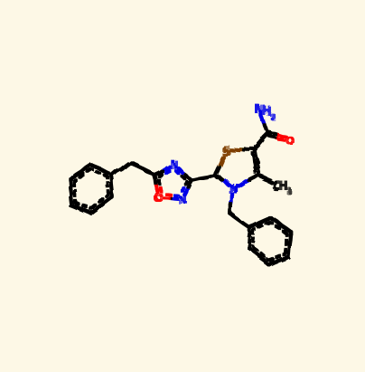 CC1=C(C(N)=O)SC(c2noc(Cc3ccccc3)n2)N1Cc1ccccc1